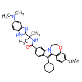 COc1ccc2c(c1)OCCn1c-2c(C2CCCCC2)c2ccc(C(=O)NC(C)(C)c3nc4cc(N(C)C)ccc4[nH]3)cc21